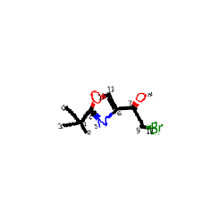 CC(C)(C)c1nc(C(=O)CBr)co1